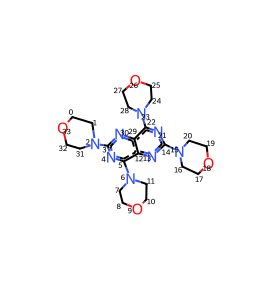 C1CN(c2nc(N3CCOCC3)c3nc(N4CCOCC4)nc(N4CCOCC4)c3n2)CCO1